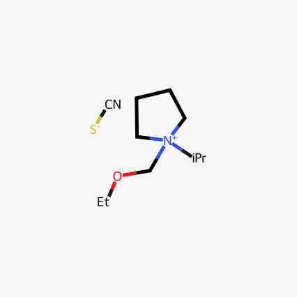 CCOC[N+]1(C(C)C)CCCC1.N#C[S-]